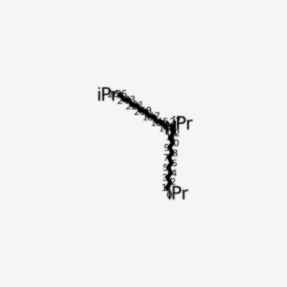 CC(C)CCCCCCCCCCCCN(CCCCCCCCCCCCC(C)C)C(C)C